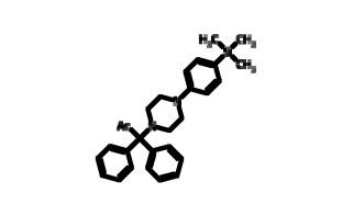 CC(=O)C(c1ccccc1)(c1ccccc1)N1CCN(c2ccc([Si](C)(C)C)cc2)CC1